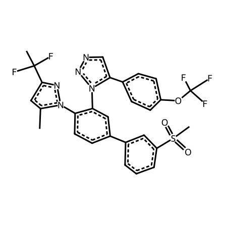 Cc1cc(C(C)(F)F)nn1-c1ccc(-c2cccc(S(C)(=O)=O)c2)cc1-n1nncc1-c1ccc(OC(F)(F)F)cc1